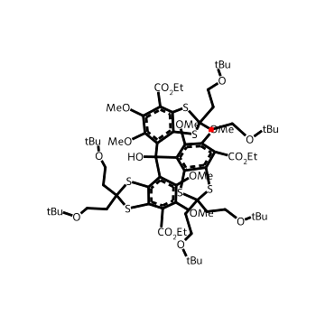 CCOC(=O)c1c(OC)c(OC)c(C(O)(c2c(OC)c(OC)c(C(=O)OCC)c3c2SC(CCOC(C)(C)C)(CCOC(C)(C)C)S3)c2c(OC)c(OC)c(C(=O)OCC)c3c2SC(CCOC(C)(C)C)(CCOC(C)(C)C)S3)c2c1SC(CCOC(C)(C)C)(CCOC(C)(C)C)S2